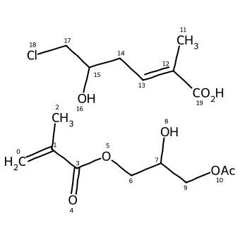 C=C(C)C(=O)OCC(O)COC(C)=O.CC(=CCC(O)CCl)C(=O)O